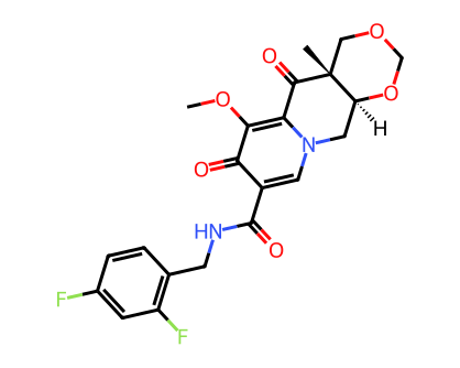 COc1c2n(cc(C(=O)NCc3ccc(F)cc3F)c1=O)C[C@@H]1OCOC[C@@]1(C)C2=O